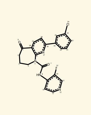 O=C1CCCN(C(=O)Nc2ccncc2F)c2nc(-c3cccc(Cl)c3)ccc21